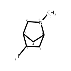 CN1CC2CC1CC2I